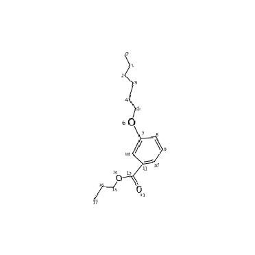 CCCCCCOc1cccc(C(=O)OCCC)c1